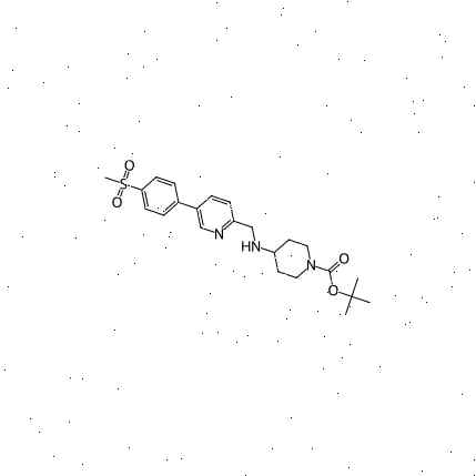 CC(C)(C)OC(=O)N1CCC(NCc2ccc(-c3ccc(S(C)(=O)=O)cc3)cn2)CC1